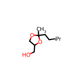 CC(C)CCC1(C)OCC(CO)O1